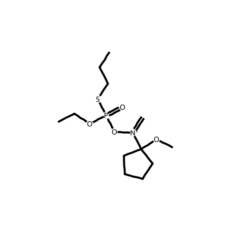 C=[N+](OP(=O)(OCC)SCCC)C1(OC)CCCC1